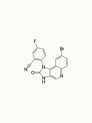 N#Cc1cc(F)ccc1-n1c(=O)[nH]c2cnc3ccc(Br)cc3c21